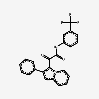 O=C(Nc1cccc(C(F)(F)F)c1)C(=O)c1c(-c2ccccc2)cc2ccccn12